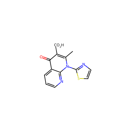 Cc1c(C(=O)O)c(=O)c2cccnc2n1-c1nccs1